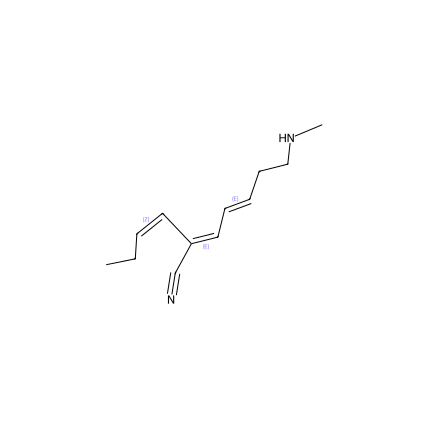 CC\C=C/C(C#N)=C\C=C\CCNC